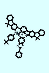 CC(C)(C)c1ccc(Nc2cc3c(cc2-c2ccc4c5cc6c(cc5n5c4c2Bc2cc4nc(-c7ccccc7)oc4cc2-5)C(C)(C)c2ccccc2-6)-c2ccccc2C3(C)C)cc1